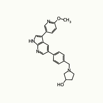 COc1ccc(-c2c[nH]c3ncc(-c4ccc(CN5CCC(O)C5)cc4)cc23)cn1